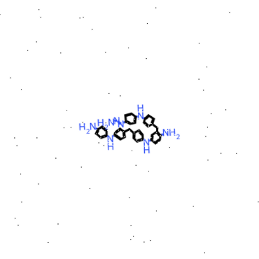 NN=Nc1ccc(Nc2ccc(Cc3cc(Nc4ccc(Cc5ccc(Nc6ccc(N)cc6)cc5)cc4)ccc3N)cc2)cc1